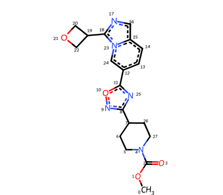 COC(=O)N1CCC(c2noc(-c3ccc4cnc(C5COC5)n4c3)n2)CC1